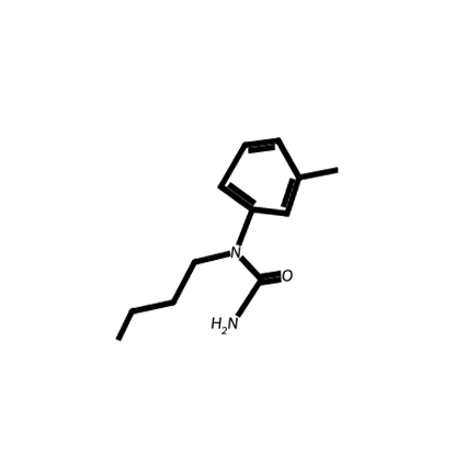 CCCCN(C(N)=O)c1cccc(C)c1